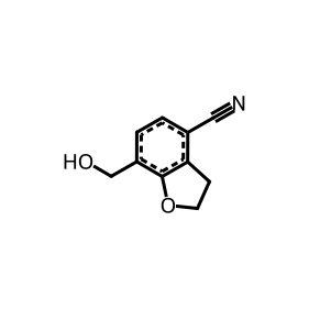 N#Cc1ccc(CO)c2c1CCO2